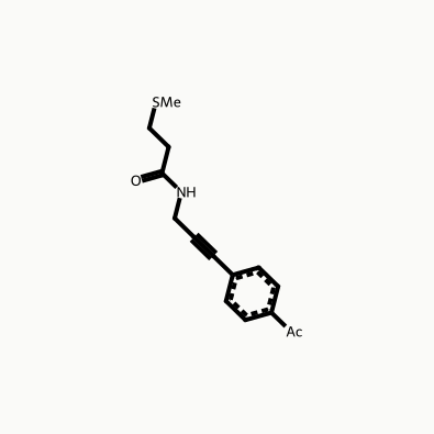 CSCCC(=O)NCC#Cc1ccc(C(C)=O)cc1